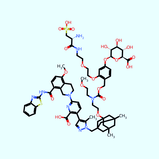 COCCN(CCOC12CC3(C)CC(C)(CC(Cn4ncc(-c5ccc(N6CCc7c(OC)ccc(C(=O)Nc8nc9ccccc9s8)c7C6)nc5C(=O)O)c4C)(C3)C1)C2)C(=O)OCc1ccc(O[C@@H]2O[C@H](C(=O)O)[C@@H](O)[C@H](O)[C@H]2O)cc1OCCOCCNC(=O)[C@@H](N)CS(=O)(=O)O